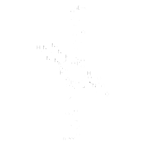 CCCCCCCCCCOc1ccc(C(=O)Oc2ccc(CSP3(=O)OC[C@H]4O[C@@H](n5cnc6c(N)ncnc65)[C@@H](F)C4OP(=O)(SCc4ccc(OC(=O)c5ccc(OCCCCCCCCCC)cc5)cc4)OC[C@H]4O[C@@H](n5ccc(=O)oc5=O)[C@@H](F)C4O3)cc2)cc1